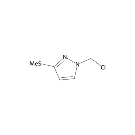 CSc1ccn(CCl)n1